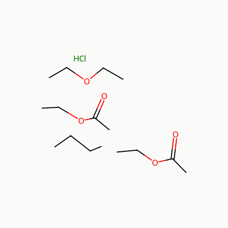 CCCC.CCOC(C)=O.CCOC(C)=O.CCOCC.Cl